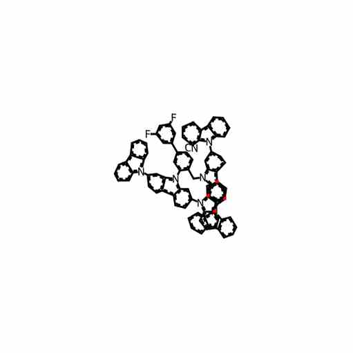 N#Cc1cc(Cn2c3cc(-n4c5ccccc5c5ccccc54)ccc3c3ccc(-n4c5ccccc5c5ccccc54)cc32)c(-n2c3cc(-n4c5ccccc5c5ccccc54)ccc3c3ccc(-n4c5ccccc5c5ccccc54)cc32)cc1-c1cc(F)cc(F)c1